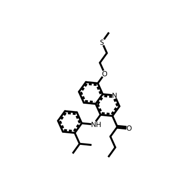 CCCC(=O)c1cnc2c(OCCSC)cccc2c1Nc1ccccc1C(C)C